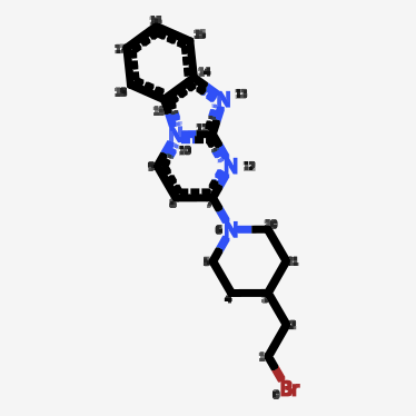 BrCCC1CCN(c2ccn3c(n2)nc2ccccc23)CC1